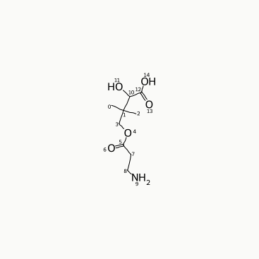 CC(C)(COC(=O)CCN)C(O)C(=O)O